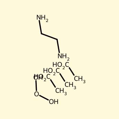 CC(=O)O.CC(=O)O.CC(=O)O.NCCN.OOO